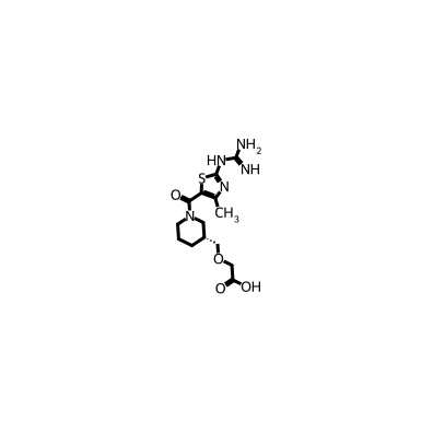 Cc1nc(NC(=N)N)sc1C(=O)N1CCC[C@@H](COCC(=O)O)C1